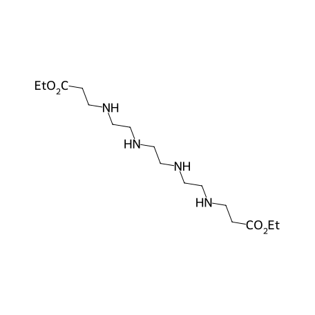 CCOC(=O)CCNCCNCCNCCNCCC(=O)OCC